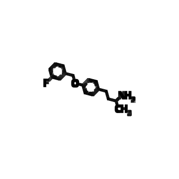 CC(N)CCc1ccc(OCc2cccc(F)c2)cc1